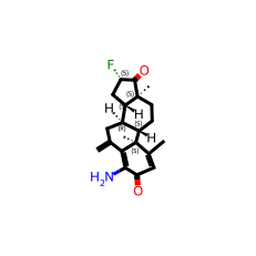 C=C1C[C@@H]2[C@H](CC[C@]3(C)C(=O)[C@@H](F)C[C@@H]23)[C@@]2(C)C(C)=CC(=O)C(N)=C12